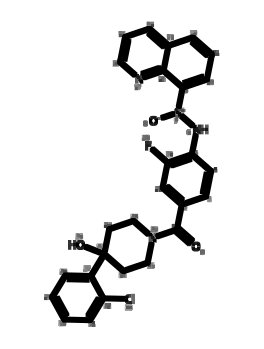 O=C(c1ccc(N[S+]([O-])c2cccc3cccnc23)c(F)c1)N1CCC(O)(c2ccccc2Cl)CC1